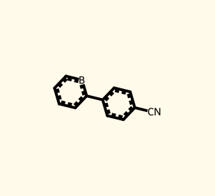 N#Cc1ccc(-c2bcccc2)cc1